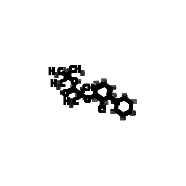 CC(C)(C)OC(=O)C(C)(C)Oc1cccc(N2CCCCC2)c1Cl